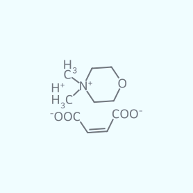 C[N+]1(C)CCOCC1.O=C([O-])/C=C\C(=O)[O-].[H+]